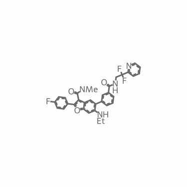 CCNc1cc2oc(-c3ccc(F)cc3)c(C(=O)NC)c2cc1-c1cccc(C(=O)NCC(F)(F)c2ccccn2)c1